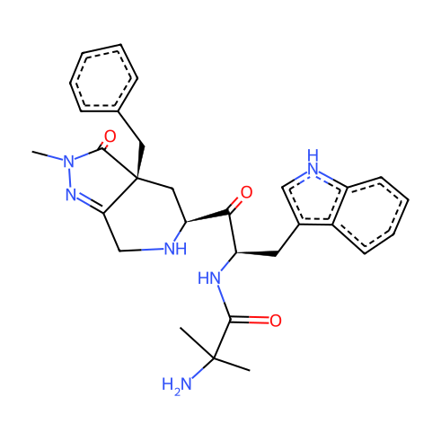 CN1N=C2CN[C@H](C(=O)[C@@H](Cc3c[nH]c4ccccc34)NC(=O)C(C)(C)N)C[C@@]2(Cc2ccccc2)C1=O